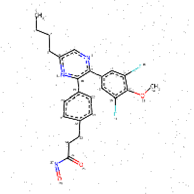 CCCCc1cnc(-c2cc(F)c(OC)c(F)c2)c(-c2ccc(CCC(=O)N=O)cc2)n1